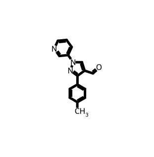 Cc1ccc(-c2nn(-c3cccnc3)cc2C=O)cc1